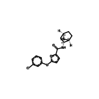 O=C(N[C@@H]1C[C@H]2CC[C@@H]1N2)c1ccc(Oc2cccc(Cl)c2)o1